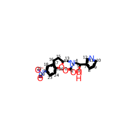 O=C(O)N(CC(O)c1cccnc1)C[C@H]1CCc2cc([N+](=O)[O-])ccc2O1